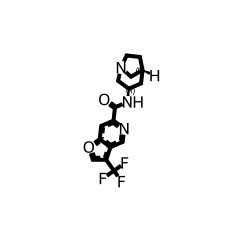 O=C(N[C@@H]1C[C@H]2CCN(C2)C1)c1cc2occ(C(F)(F)F)c2cn1